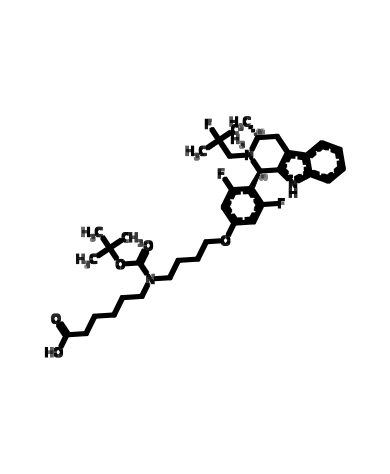 C[C@@H]1Cc2c([nH]c3ccccc23)[C@@H](c2c(F)cc(OCCCCN(CCCCCC(=O)O)C(=O)OC(C)(C)C)cc2F)N1CC(C)(C)F